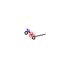 CCCCCCCCCc1ccccc1OC(=O)OCCN(CC)c1ccccc1